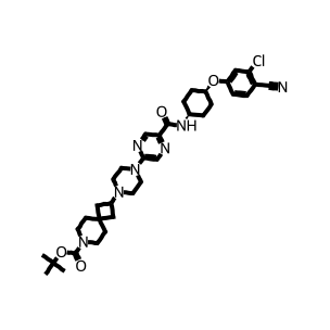 CC(C)(C)OC(=O)N1CCC2(CC1)CC(N1CCN(c3cnc(C(=O)N[C@H]4CC[C@H](Oc5ccc(C#N)c(Cl)c5)CC4)cn3)CC1)C2